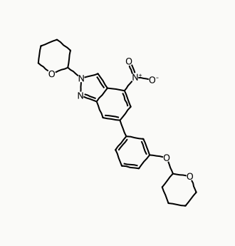 O=[N+]([O-])c1cc(-c2cccc(OC3CCCCO3)c2)cc2nn(C3CCCCO3)cc12